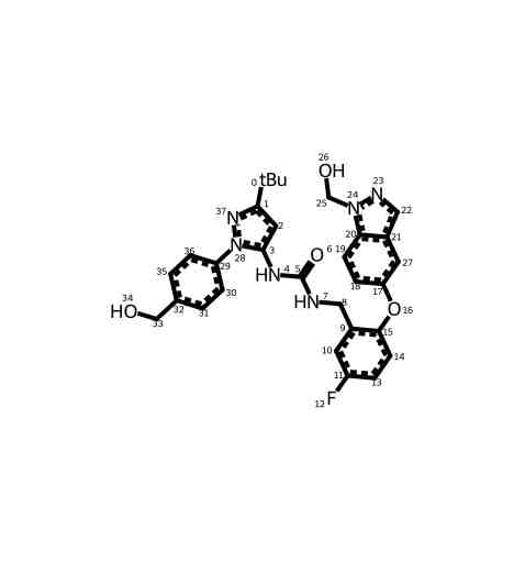 CC(C)(C)c1cc(NC(=O)NCc2cc(F)ccc2Oc2ccc3c(cnn3CO)c2)n(-c2ccc(CO)cc2)n1